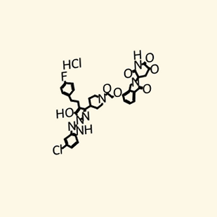 Cl.O=C1CC(N2Cc3c(OCC(=O)N4CCC(c5nn(-c6nc7cc(Cl)ccc7[nH]6)c(O)c5CCc5ccc(F)cc5)CC4)cccc3C2=O)C(=O)NC1=O